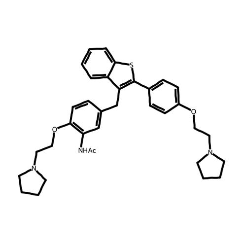 CC(=O)Nc1cc(Cc2c(-c3ccc(OCCN4CCCC4)cc3)sc3ccccc23)ccc1OCCN1CCCC1